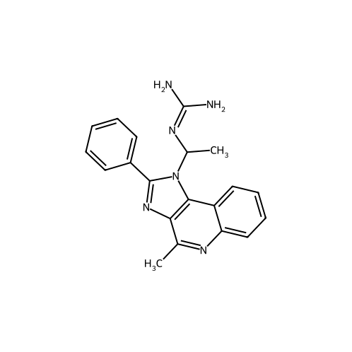 Cc1nc2ccccc2c2c1nc(-c1ccccc1)n2C(C)N=C(N)N